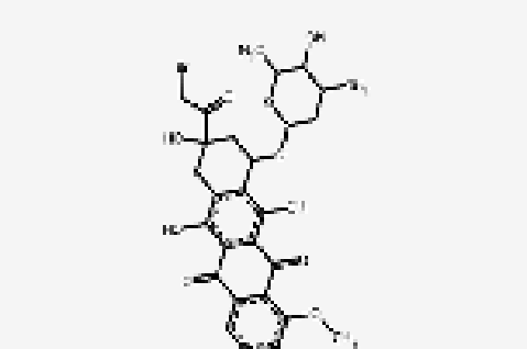 COc1cccc2c1C(=O)c1c(O)c3c(c(O)c1C2=O)CC(O)(C(=O)CBr)CC3OC1CC(N)C(O)C(C)O1